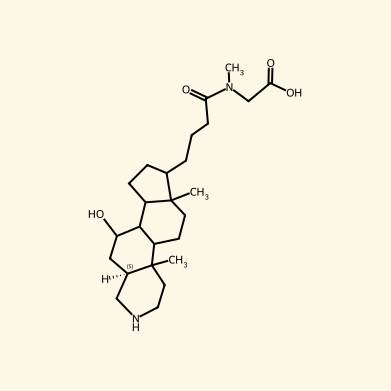 CN(CC(=O)O)C(=O)CCCC1CCC2C3C(O)C[C@@H]4CNCCC4(C)C3CCC12C